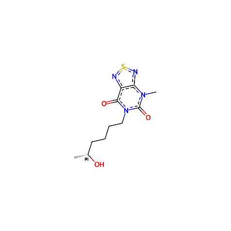 C[C@@H](O)CCCCn1c(=O)c2nsnc2n(C)c1=O